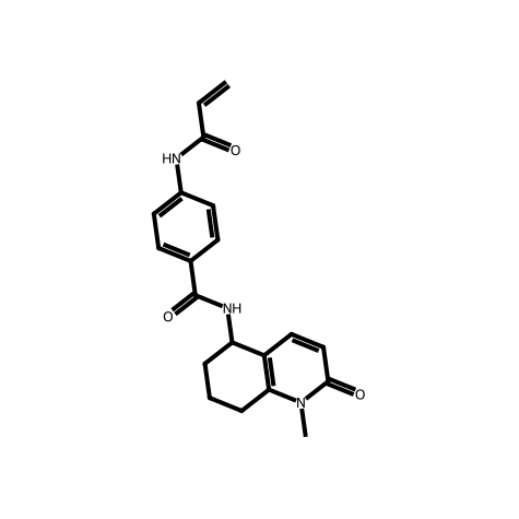 C=CC(=O)Nc1ccc(C(=O)NC2CCCc3c2ccc(=O)n3C)cc1